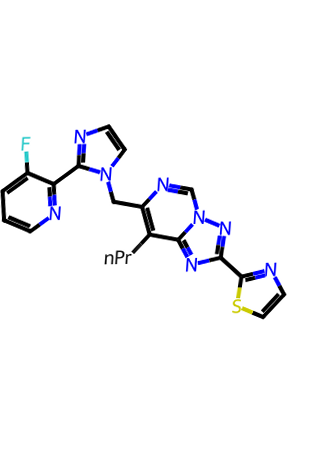 CCCc1c(Cn2ccnc2-c2ncccc2F)ncn2nc(-c3nccs3)nc12